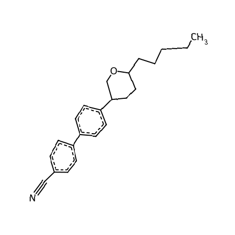 CCCCCC1CCC(c2ccc(-c3ccc(C#N)cc3)cc2)CO1